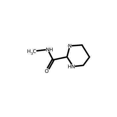 CNC(=O)C1[N]CCCN1